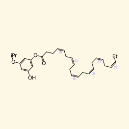 CC/C=C\C/C=C\C/C=C\C/C=C\C/C=C\C/C=C\CCC(=O)Oc1cc(O)cc(OC(C)C)c1